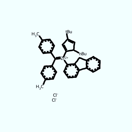 CCCCC1C=C(C(C)(C)C)C=[C]1[Zr+2](=[C](c1ccc(C)cc1)c1ccc(C)cc1)[c]1cccc2c1Cc1ccccc1-2.[Cl-].[Cl-]